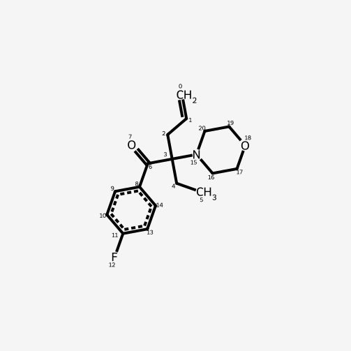 C=CCC(CC)(C(=O)c1ccc(F)cc1)N1CCOCC1